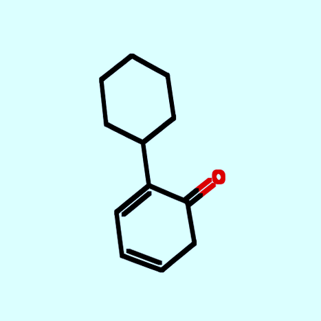 O=C1CC=CC=C1C1CCCCC1